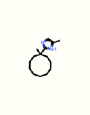 Cc1cnc(C2(C)CCCCCCCCC2)[nH]1